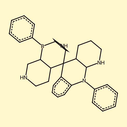 c1ccc(B2C3CNCCC3C3(c4ccccc4N(c4ccccc4)C4NCCCC43)C3CCNCC23)cc1